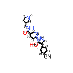 CN1CCC(CNC(=O)c2ccc(-n3ncc(-c4ccc(C#N)cc4)c3O)nc2)C1